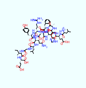 CC[C@H](C)[C@H](NC(=O)CNC(=O)[C@H](CC(C)C)NC(=O)[C@H](CCC(N)=O)NC(=O)[C@H](Cc1ccc(O)cc1)NC(=O)[C@H](CCCNC(=N)N)NC(=O)[C@H](C)NC(=O)[C@@H](NC(=O)[C@H](CC(N)=O)NC(=O)[C@H](Cc1ccccc1)NC(=O)[C@H](C)NC(=O)[C@H](Cc1c[nH]cn1)NC(=O)[C@H](CCC(=O)O)NC(=O)[C@@H](N)CC(C)C)[C@@H](C)CC)C(=O)N[C@@H](CCC(=O)O)C(=O)O